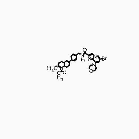 CC(=O)N1c2ccc(-c3ccc(CNC(=O)c4cn5cc(Br)cc(N6CCOCC6)c5n4)cc3)cc2CC[C@@H]1C